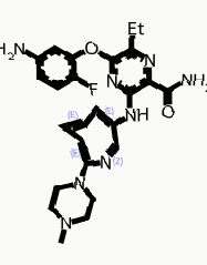 CCc1nc(C(N)=O)c(NC2=C/C=C/C=C(N3CCN(C)CC3)/N=C\2)nc1Oc1cc(N)ccc1F